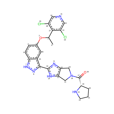 CC(Oc1ccc2[nH]nc(-c3nc4c([nH]3)CN(C(=O)[C@@H]3CCCN3)C4)c2c1)c1c(Cl)cncc1Cl